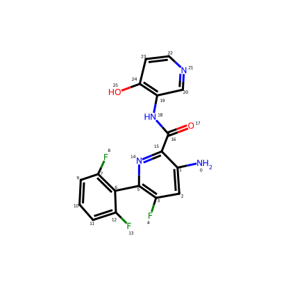 Nc1cc(F)c(-c2c(F)cccc2F)nc1C(=O)Nc1cnccc1O